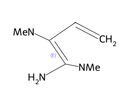 C=C/C(NC)=C(/N)NC